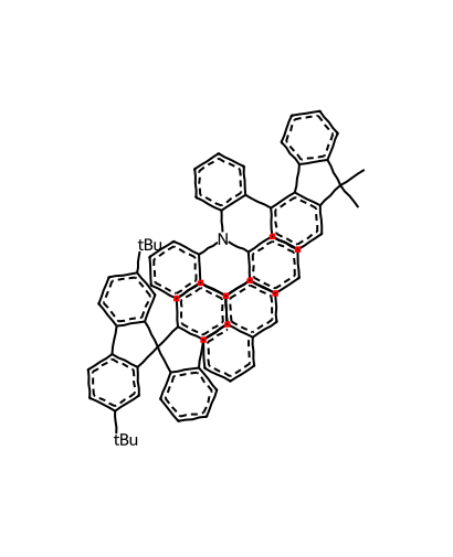 CC(C)(C)c1ccc2c(c1)C1(c3ccccc3-c3cc(-c4ccccc4N(c4ccccc4-c4cccc5c4-c4ccccc4C5(C)C)c4ccccc4-c4cccc5ccccc45)ccc31)c1cc(C(C)(C)C)ccc1-2